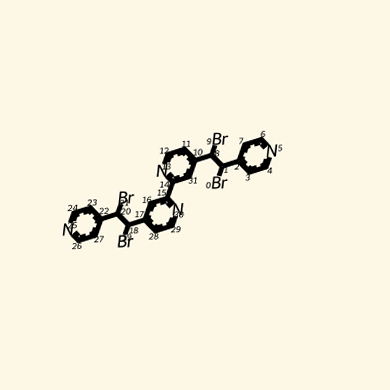 BrC(c1ccncc1)C(Br)c1ccnc(-c2cc(C(Br)C(Br)c3ccncc3)ccn2)c1